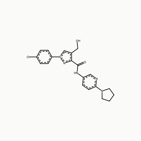 O=C(Nc1ccc(N2CCCC2)nc1)c1nn(-c2ccc(Cl)cc2)cc1CO